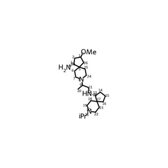 COC1C[C@@H](N)C2(CCN(C(C)CN[C@@H]3CCCC34CCN(C(C)C)CC4)CC2)C1